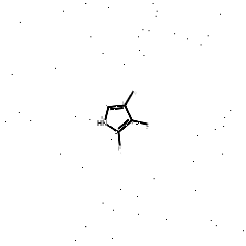 Cc1c[nH]c(F)c1C